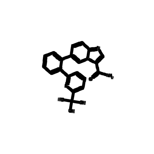 NC(=O)c1cnc2ccc(-c3ccccc3-c3cccc(C(O)(O)O)n3)cn12